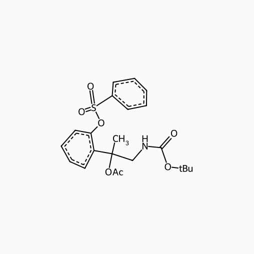 CC(=O)OC(C)(CNC(=O)OC(C)(C)C)c1ccccc1OS(=O)(=O)c1ccccc1